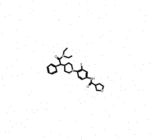 CCN(CC)C(=O)C(c1ccccc1)C1CCN(c2ccc(NC(=O)C3CCOC3)cc2F)CC1